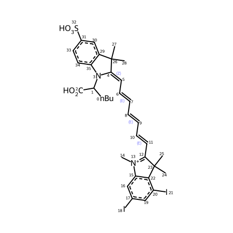 CCCCC(C(=O)O)N1\C(=C/C=C/C=C/C=C/C2=[N+](C)c3cc(I)cc(I)c3C2(C)C)C(C)(C)c2cc(S(=O)(=O)O)ccc21